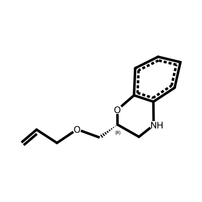 C=CCOC[C@H]1CNc2ccccc2O1